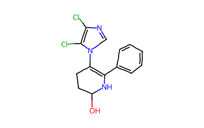 OC1CCC(n2cnc(Cl)c2Cl)=C(c2ccccc2)N1